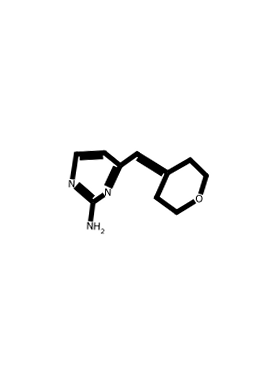 Nc1nccc(C=C2CCOCC2)n1